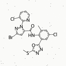 CSc1nnc(-c2cc(Cl)cc(C)c2NC(=O)c2cc(Br)nn2-c2ncccc2Cl)o1